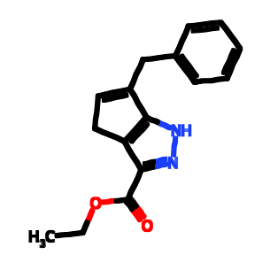 CCOC(=O)c1n[nH]c2c1CC=C2Cc1ccccc1